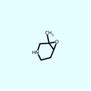 CC12CNCCC1O2